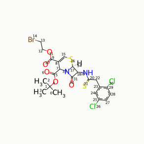 CC(C)(C)OC(=O)C1C(C(=O)OCCBr)=CS[C@H]2C(NC(=S)Cc3cc(Cl)ccc3Cl)C(=O)N12